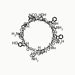 CCCC[C@H]1C(=O)N[C@@H](CC(C)C)C(=O)N[C@H](C(=O)NCC(N)=O)CSCC(=O)N[C@@H](Cc2ccc(O)cc2)C(=O)N(C)[C@@H](C)C(=O)N[C@@H](CC(N)=O)C(=O)N2CCC[C@H]2C(=O)N[C@@H](Cc2cnc[nH]2)C(=O)N[C@@H](CCC(=O)O)C(=O)N2C[C@H](O)C[C@H]2C(=O)N[C@@H](Cc2c[nH]c3ccccc23)C(=O)N[C@@H](CCN)C(=O)N[C@@H](Cc2c[nH]c3ccccc23)C(=O)N(CC(=O)O)[C@@H](C)C(=O)N1C